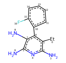 CCc1c(N)nc(N)c(N)c1-c1ccccc1F